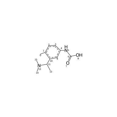 Cc1ccc(NC(=O)O)cc1C(C)N(C)C